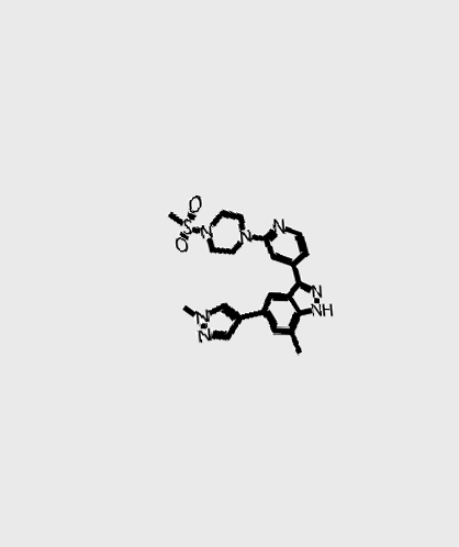 Cc1cc(-c2cnn(C)c2)cc2c(-c3ccnc(N4CCN(S(C)(=O)=O)CC4)c3)n[nH]c12